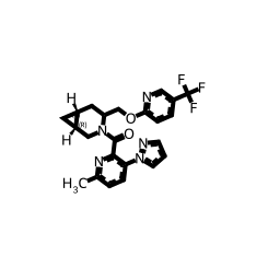 Cc1ccc(-n2cccn2)c(C(=O)N2C[C@@H]3C[C@@H]3CC2COc2ccc(C(F)(F)F)cn2)n1